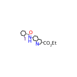 CCOC(=O)c1cnc2cc(NC(=O)c3ccccc3I)ccc2c1